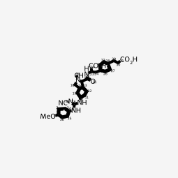 COc1ccc(NC(=NC#N)Nc2ccc3c(c2)CN(C)C3C(=O)NC(Cc2ccc(CCC(=O)O)cc2)C(=O)O)cc1